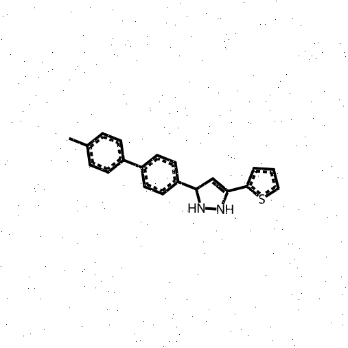 Cc1ccc(-c2ccc(C3C=C(c4cccs4)NN3)cc2)cc1